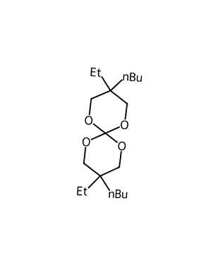 CCCCC1(CC)COC2(OC1)OCC(CC)(CCCC)CO2